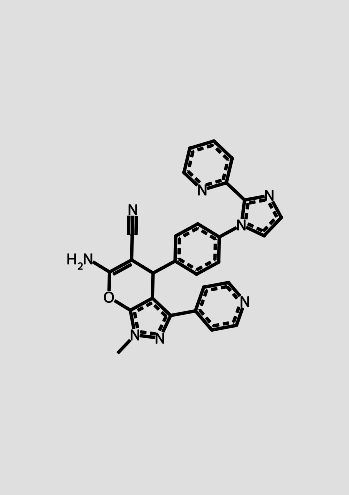 Cn1nc(-c2ccncc2)c2c1OC(N)=C(C#N)C2c1ccc(-n2ccnc2-c2ccccn2)cc1